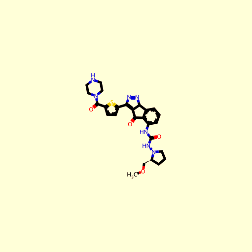 COC[C@H]1CCCN1NC(=O)Nc1cccc2c1C(=O)C1=C(c3ccc(C(=O)N4CCNCC4)s3)N=NC12